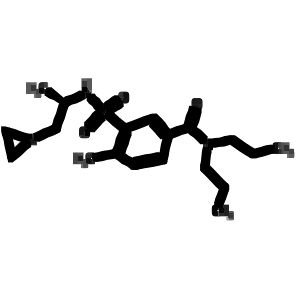 CCCN(CCC)C(=O)c1ccc(C)c(S(=O)(=O)N[C@H](C)CN2CC2)c1